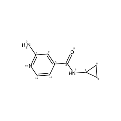 Nc1cc(C(=O)NC2CC2)ccn1